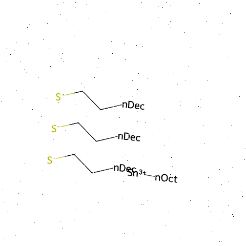 CCCCCCCCCCCC[S-].CCCCCCCCCCCC[S-].CCCCCCCCCCCC[S-].CCCCCCC[CH2][Sn+3]